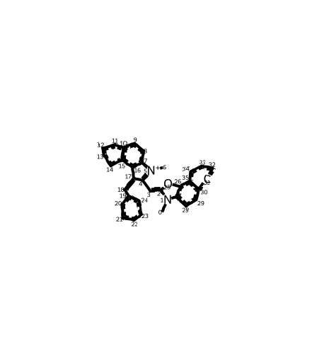 CN1/C(=C/C2=[N+](C)c3ccc4ccccc4c3/C2=C/c2ccccc2)Oc2c1ccc1ccccc21